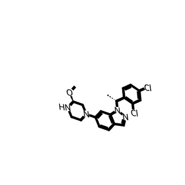 CO[C@H]1CN(c2ccc3cnn([C@H](C)c4ccc(Cl)cc4Cl)c3c2)CCN1